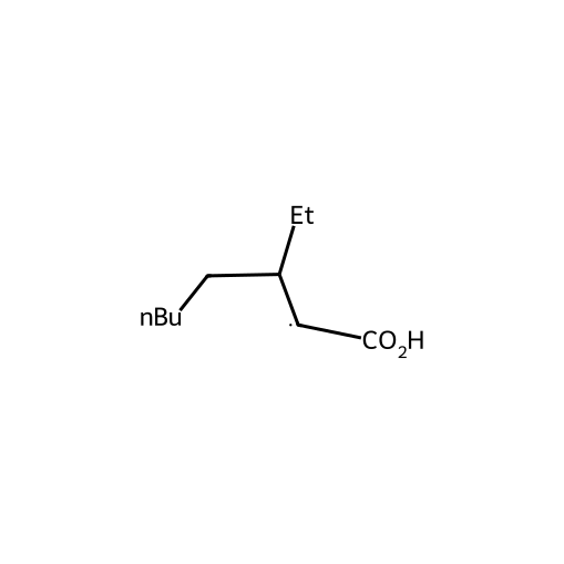 CCCCCC([CH]C(=O)O)CC